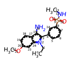 CCn1c(-c2cccc(S(=O)(=O)NC)c2)c(N)c2ccc(OC)cc21